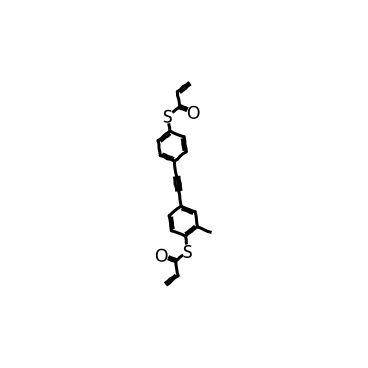 C=CC(=O)Sc1ccc(C#Cc2ccc(SC(=O)C=C)c(C)c2)cc1